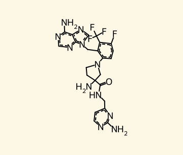 Nc1nccc(CNC(=O)C2(N)CCN(c3ccc(F)c(C(F)(F)F)c3Cn3cnc4c(N)ncnc43)C2)n1